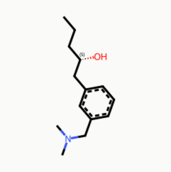 CCC[C@H](O)Cc1cccc(CN(C)C)c1